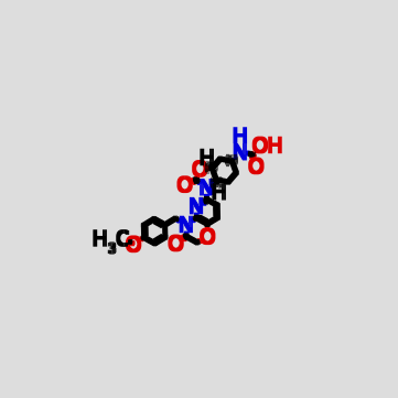 COc1ccc(CN2C(=O)COc3ccc(N4C(=O)O[C@@H]5C[C@@H](NC(=O)O)CC[C@@H]54)nc32)cc1